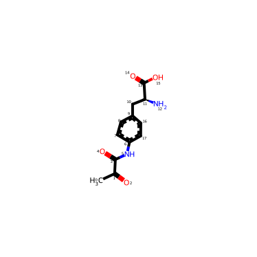 CC(=O)C(=O)Nc1ccc(C[C@H](N)C(=O)O)cc1